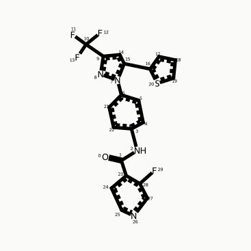 O=C(Nc1ccc(-n2nc(C(F)(F)F)cc2-c2cccs2)cc1)c1ccncc1F